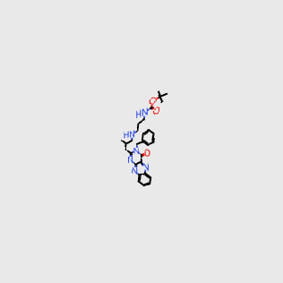 CC(CNCCCNC(=O)OC(C)(C)C)Cc1nc2nc3ccccc3nc2c(=O)n1Cc1ccccc1